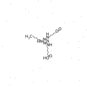 CCCCCCNc1nc(NCCCCCOC=O)nc(NCCCCCC(=O)O)n1